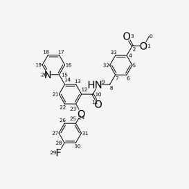 COC(=O)c1ccc(CNC(=O)c2cc(-c3ccccn3)ccc2Oc2ccc(F)cc2)cc1